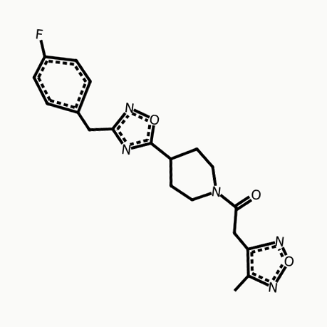 Cc1nonc1CC(=O)N1CCC(c2nc(Cc3ccc(F)cc3)no2)CC1